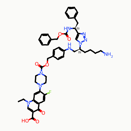 CCn1cc(C(=O)O)c(=O)c2cc(F)c(N3CCN(C(=O)OCc4ccc(NC[C@H](CCCCN)n5cc([C@H](Cc6ccccc6)NC(=O)OCc6ccccc6)nn5)cc4)CC3)cc21